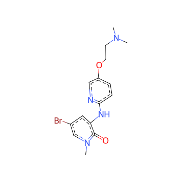 CN(C)CCOc1ccc(Nc2cc(Br)cn(C)c2=O)nc1